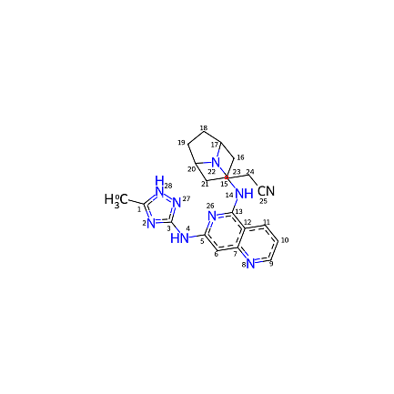 Cc1nc(Nc2cc3ncccc3c(NC3CC4CCC(C3)N4CCC#N)n2)n[nH]1